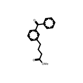 COC(=O)CCCc1cccc(C(=O)c2ccccc2)c1